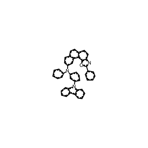 c1ccc(-c2nc3ccc4ccc5ccc(N(c6ccccc6)c6cccc(-n7c8ccccc8c8ccccc87)c6)cc5c4c3o2)cc1